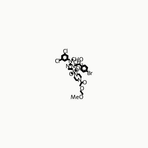 COCCOCC(=O)N1CCN(S(=O)(=O)c2cnc(N(C=O)c3cc(Cl)cc(Cl)c3)n2C(C)(C)Cc2ccc(Br)cc2)CC1